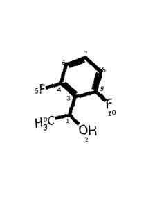 CC(O)c1c(F)cccc1F